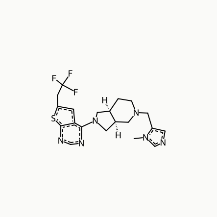 Cn1cncc1CN1CC[C@@H]2CN(c3ncnc4sc(CC(F)(F)F)cc34)C[C@@H]2C1